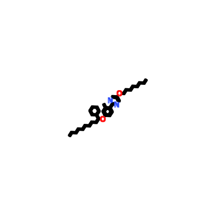 CCCCCCCCCC(Oc1ccc(-c2ncc(OCCCCCCCC)cn2)c(C)c1)C1CCCCC1